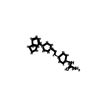 NC(=O)N[C@H]1CC[C@H](CCN2CCN(c3cccc4c3CCC4)CC2)CC1